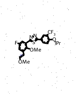 CO/C=C/c1cc(F)cc(-c2nnc(-c3ccc(OC(C)C)c(C(F)(F)F)c3)s2)c1OC